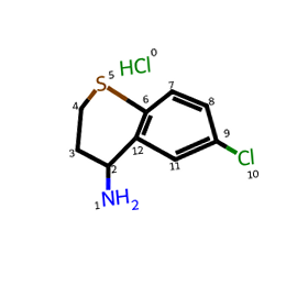 Cl.NC1CCSc2ccc(Cl)cc21